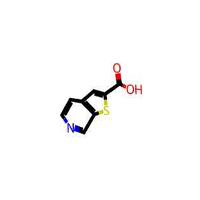 O=C(O)c1cc2ccncc2s1